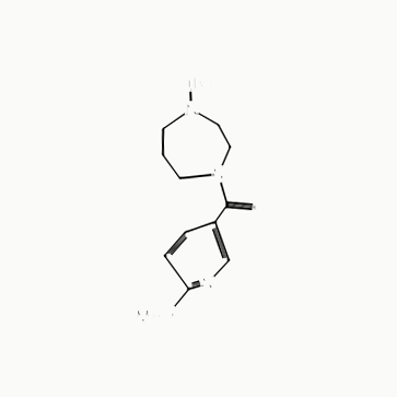 COc1ccc(C(=O)N2CCCN(C(C)(C)C)CC2)cn1